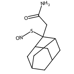 NC(=O)CC1(SN=O)C2CC3CC(C2)CC1C3